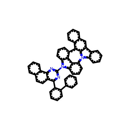 c1ccc(-c2ccccc2-c2nc(-n3c4cccc5c4c4c3cccc4n3c4ccccc4c4cc6ccccc6c5c43)nc3c2ccc2ccccc23)cc1